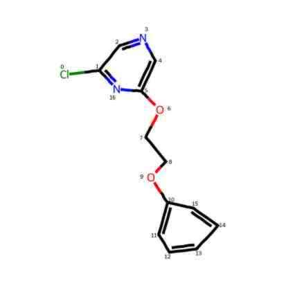 Clc1cncc(OCCOc2ccccc2)n1